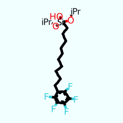 CC(C)O[Si](O)(CCCCCCCCCCc1c(F)c(F)c(F)c(F)c1F)OC(C)C